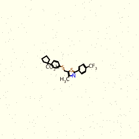 Cc1nc(-c2ccc(C(F)(F)F)cc2)sc1CSc1ccc(C2(C(=O)O)CCCC2)cc1